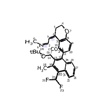 C/N=C\C=C1\CCOc2ccc(-c3c([C@H](OC(C)(C)C)C(=O)O)c(C)c(C(F)F)c4ccccc34)cc21